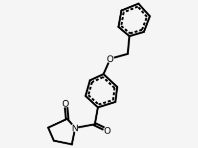 O=C1CCCN1C(=O)c1ccc(OCc2ccccc2)cc1